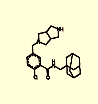 O=C(NCC12CC3CC(CC(C3)C1)C2)c1cc(CN2CC3CNCC3C2)ccc1Cl